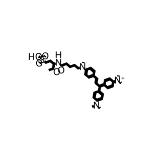 CC(=O)C(CCS(=O)(=O)O)NC(=O)CCCCN(C)c1ccc(/C=C/C(=C2C=CC(=[N+](C)C)C=C2)c2ccc(N(C)C)cc2)cc1